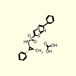 C[C@H]1[C@H](NS(=O)(=O)c2cn3cc(-c4ccccc4)nc3s2)[C@H]1c1ccccc1.O=C(O)O